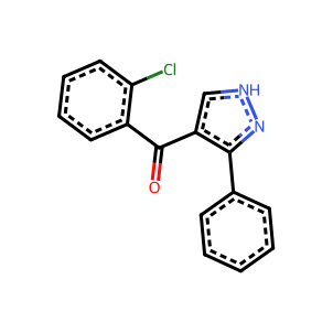 O=C(c1ccccc1Cl)c1c[nH]nc1-c1ccccc1